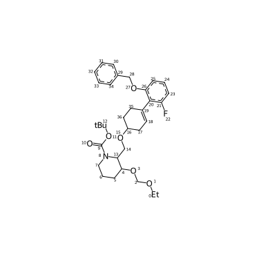 CCOCOC1CCCN(C(=O)OC(C)(C)C)C1COC1CC=C(c2c(F)cccc2OCc2ccccc2)CC1